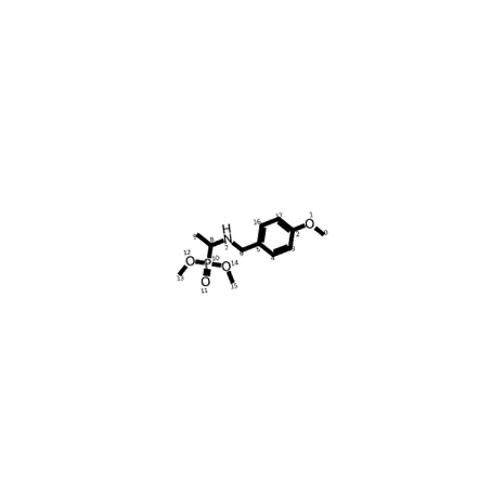 COc1ccc(CNC(C)P(=O)(OC)OC)cc1